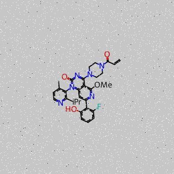 C=CC(=O)N1CCN(c2nc(=O)n(-c3c(C)ccnc3C(C)C)c3cc(-c4c(O)cccc4F)nc(OC)c23)CC1